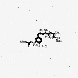 CCCCNC(=O)[C@H](C)C[C@H](O)[C@@H](N)C[C@H](Cc1ccc(OC)c(OCC(=O)NC)c1)C(C)C.Cl